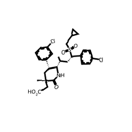 CC(C[C@@H](c1ccc(Cl)cc1)S(=O)(=O)CC1CC1)[C@@H]1NC(=O)[C@](C)(CC(=O)O)C[C@@H]1c1cccc(Cl)c1